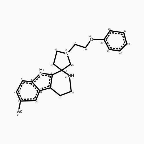 CC(=O)c1ccc2[nH]c3c(c2c1)CCNC31CCN(CCOc2ccccc2)C1